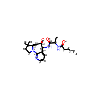 CC(NC(=O)CCC(F)(F)F)C(=O)NC1C(=O)C=C2N(CCC2(C)C)c2ncccc21